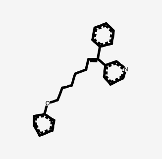 C(CCCCCOc1ccccc1)=C(c1ccccc1)c1cccnc1